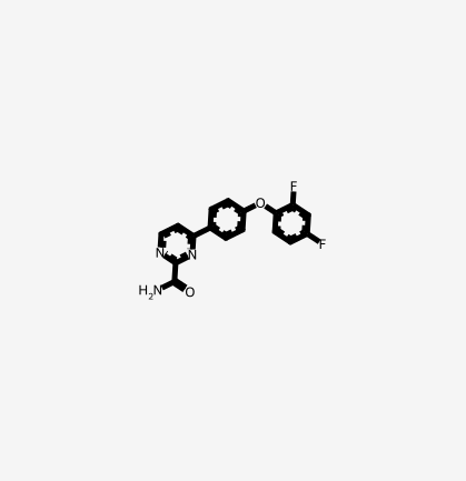 NC(=O)c1nccc(-c2ccc(Oc3ccc(F)cc3F)cc2)n1